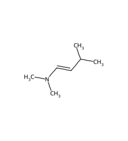 CC(C)/C=C/N(C)C